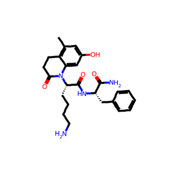 Cc1cc(O)cc2c1CCC(=O)N2[C@@H](CCCCN)C(=O)N[C@@H](Cc1ccccc1)C(N)=O